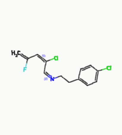 C=C(F)/C=C(Cl)\C=N/CCc1ccc(Cl)cc1